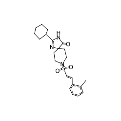 Cc1ccccc1C=CS(=O)(=O)N1CCC2(CC1)N=C(C1CCCCC1)NC2=O